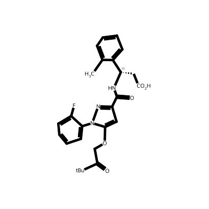 Cc1ccccc1[C@H](CC(=O)O)NC(=O)c1cc(OCC(=O)C(C)(C)C)n(-c2ccccc2F)n1